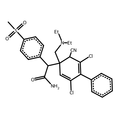 CCN(CC)CC1(C(C(N)=O)c2ccc(S(C)(=O)=O)cc2)C=C(Cl)C(c2ccccc2)=C(Cl)C1C#N